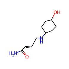 NC(=O)C=CCNC1CCC(O)CC1